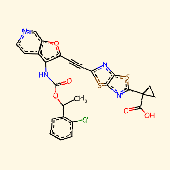 CC(OC(=O)Nc1c(C#Cc2nc3sc(C4(C(=O)O)CC4)nc3s2)oc2cnccc12)c1ccccc1Cl